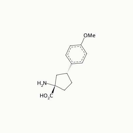 COc1ccc([C@@H]2CC[C@@](N)(C(=O)O)C2)cc1